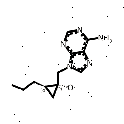 CCC[C@@H]1C[C@]1([O])Cn1cnc2c(N)ncnc21